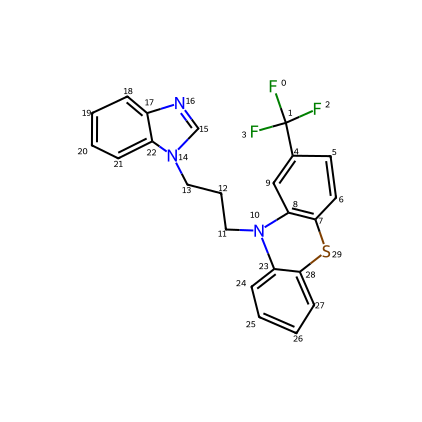 FC(F)(F)c1ccc2c(c1)N(CCCn1cnc3ccccc31)c1ccccc1S2